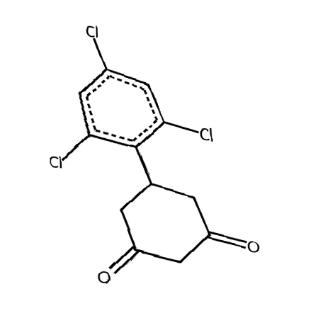 O=C1CC(=O)CC(c2c(Cl)cc(Cl)cc2Cl)C1